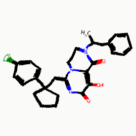 CC(c1ccccc1)N1CCn2c(CC3(c4ccc(Cl)cc4)CCCC3)nc(=O)c(O)c2C1=O